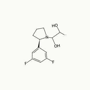 [CH2]C(O)C(O)N1CCC[C@@H]1c1cc(F)cc(F)c1